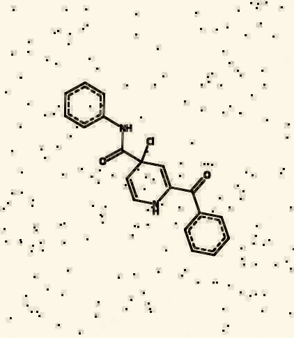 O=C(C1=CC(Cl)(C(=O)Nc2ccccc2)C=CN1)c1ccccc1